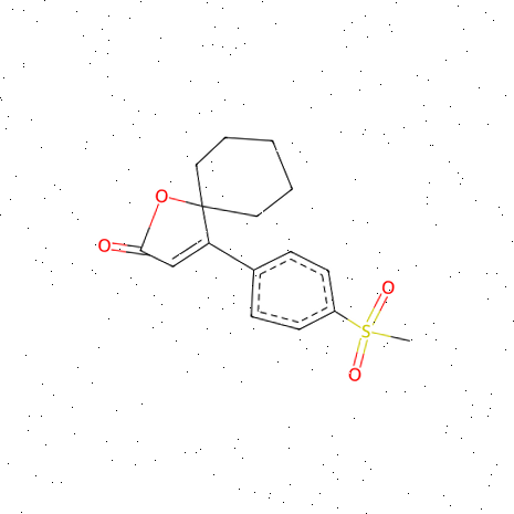 CS(=O)(=O)c1ccc(C2=CC(=O)OC23CCCCC3)cc1